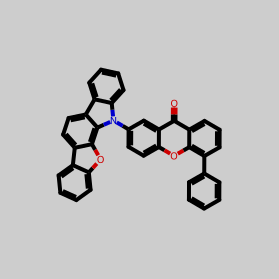 O=c1c2cc(-n3c4ccccc4c4ccc5c6ccccc6oc5c43)ccc2oc2c(-c3ccccc3)cccc12